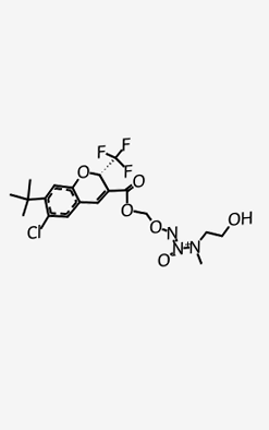 CN(CCO)/[N+]([O-])=N/OCOC(=O)C1=Cc2cc(Cl)c(C(C)(C)C)cc2O[C@@H]1C(F)(F)F